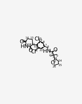 CC(C)(C(=O)NCc1cc(Cl)c(C2CCC(=O)NC2=O)c(Cl)c1)C1CCCO1